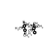 CCOC1=CC(c2ccccc2)=C(OCC)CC1([N+]#N)OCC.CCOc1ccc(-c2cc(OCC)c([N+]#N)cc2OCC)cc1